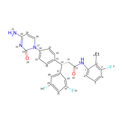 CCc1c(F)cccc1NC(=O)C[C@@H](c1ccc(-n2ccc(N)nc2=O)cc1)c1cc(F)cc(F)c1